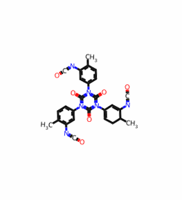 Cc1ccc(-n2c(=O)n(C3=CCC(C)C(N=C=O)=C3)c(=O)n(-c3ccc(C)c(N=C=O)c3)c2=O)cc1N=C=O